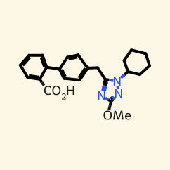 COc1nc(Cc2ccc(-c3ccccc3C(=O)O)cc2)n(C2CCCCC2)n1